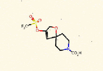 O=C(O)N1CCC2(C=C(OS(=O)(=O)C(F)(F)F)CO2)CC1